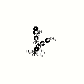 Cc1cc(C[C@@H](OC(=O)N2CCC(N3CCc4ccccc4NC3=O)CC2)C(=O)N2CCN(C3CCN(C)CC3)CC2)cc2c1n(C)c(=O)n2C